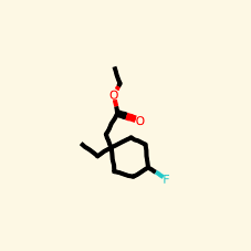 CCOC(=O)CC1(CC)CCC(F)CC1